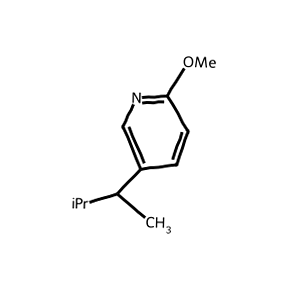 COc1ccc(C(C)C(C)C)cn1